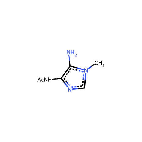 CC(=O)Nc1ncn(C)c1N